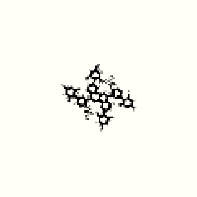 Cc1cc(C)c(-c2ccc(OS(=O)(=O)C(F)(F)F)c(-c3cc4c5cc(-c6c(C)cc(C)cc6C)ccc5c(-c5cc(-c6c(C)cc(C)cc6C)ccc5OS(=O)(=O)C(F)(F)F)cc4c4cc(-c5c(C)cc(C)cc5C)ccc34)c2)c(C)c1